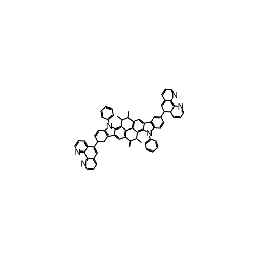 CC1c2cc3c4cc(C5C=c6cccnc6=C6N=CC=CC65)ccc4n(-c4ccccc4)c3c3c2-c2c(cc4c5c(n(-c6ccccc6)c4c2C1C)C=CC(c1cc2cccnc2c2ncccc12)C5)C(C)C3C